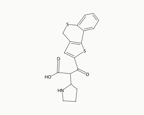 O=C(O)C(C(=O)c1cc2c(s1)-c1ccccc1SC2)C1CCCN1